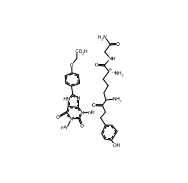 CCCn1c(=O)c2[nH]c(-c3ccc(OCC(=O)O)cc3)nc2n(CCC)c1=O.NC(=O)CNC(=O)[C@H](N)CCCC(N)C(=O)CCc1ccc(O)cc1